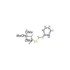 C[O][Ti]([CH2]C(C)SCCc1ccccn1)([O]C)[O]C